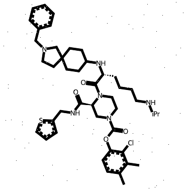 Cc1ccc(OC(=O)N2CCN(C(=O)[C@@H](CCCCNC(C)C)NC3CCC4(CC3)CCN(Cc3ccccc3)C4)[C@H](C(=O)NCc3cccs3)C2)c(Cl)c1C